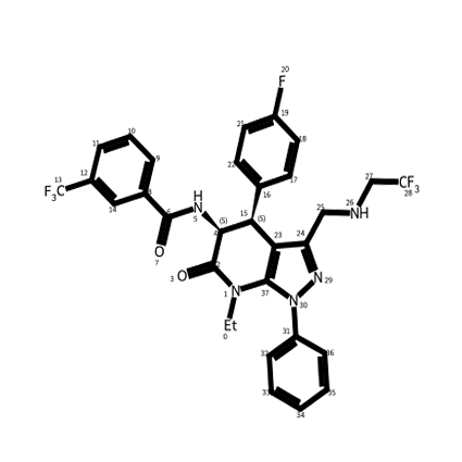 CCN1C(=O)[C@@H](NC(=O)c2cccc(C(F)(F)F)c2)[C@@H](c2ccc(F)cc2)c2c(CNCC(F)(F)F)nn(-c3ccccc3)c21